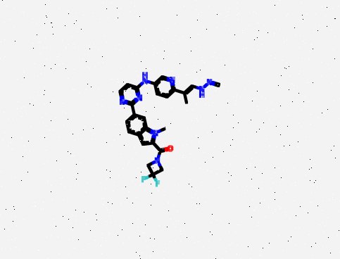 C=NN/C=C(\C)c1ccc(Nc2ccnc(-c3ccc4cc(C(=O)N5CC(F)(F)C5)n(C)c4c3)n2)cn1